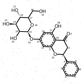 O=C1C[C@@H](c2ccccc2)Oc2cc(O[C@@H]3OC(CO)[C@@H](O)[C@H](O)C3O)cc(O)c21